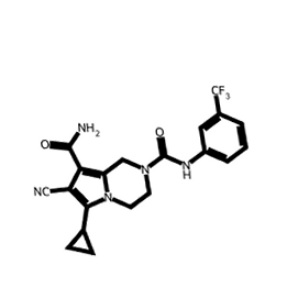 N#Cc1c(C(N)=O)c2n(c1C1CC1)CCN(C(=O)Nc1cccc(C(F)(F)F)c1)C2